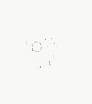 C[SiH](C)OC(=O)CC[C@@H](OS(=O)(=O)Cc1ccc(Cl)c(Cl)c1)C(C)(C)C